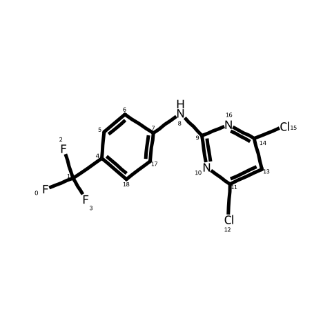 FC(F)(F)c1ccc(Nc2nc(Cl)cc(Cl)n2)cc1